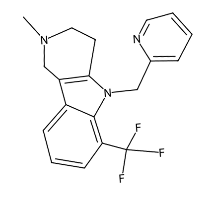 CN1CCc2c(c3cccc(C(F)(F)F)c3n2Cc2ccccn2)C1